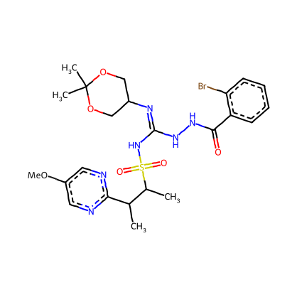 COc1cnc(C(C)C(C)S(=O)(=O)N/C(=N\C2COC(C)(C)OC2)NNC(=O)c2ccccc2Br)nc1